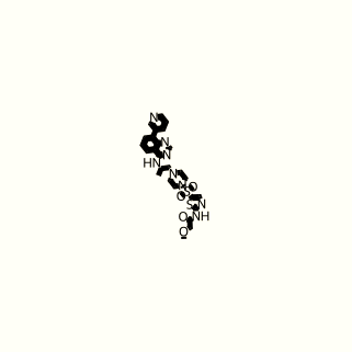 COCC(=O)Nc1ncc(S(=O)(=O)N2CCN(CC(C)Nc3ncnc4c(-c5cccnc5)cccc34)CC2)s1